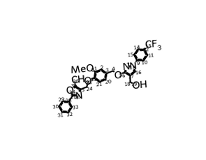 COc1cc(COc2nn(-c3ccc(C(F)(F)F)cc3)cc2CO)ccc1OCc1nc(-c2ccccc2)oc1C